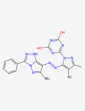 [C-]#[N+]c1c(C)nn(-c2nc(O)nc(O)n2)c1/N=N/c1c(C(C)(C)C)nn2c(-c3ccccc3)n[nH]c12